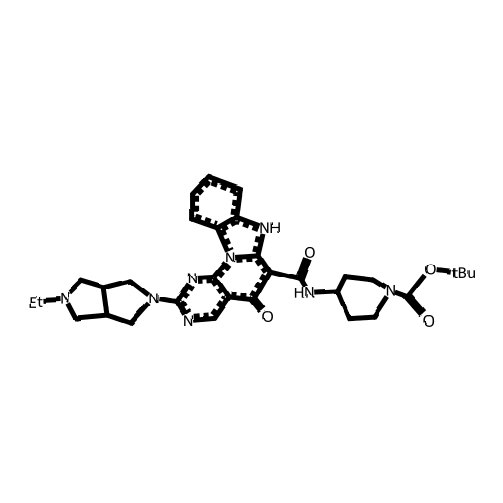 CCN1CC2CN(c3ncc4c(=O)c(C(=O)NC5CCN(C(=O)OC(C)(C)C)CC5)c5[nH]c6ccccc6n5c4n3)CC2C1